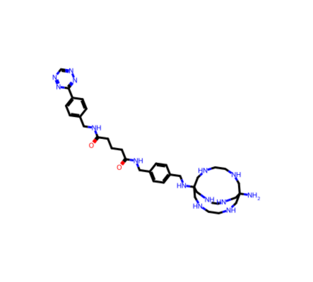 NC12CNCCNCC(NCc3ccc(CNC(=O)CCCC(=O)NCc4ccc(-c5nncnn5)cc4)cc3)(CNCCNC1)CNCCNC2